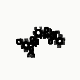 Cc1c(NC(=O)[C@@H]2CCC[C@H](c3nnc(-c4cc(Cl)ccc4OC(C)C)o3)C2)c(=O)n(-c2ccccc2)n1C